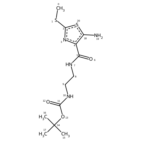 CSc1nc(C(=O)NCCNC(=O)OC(C)(C)C)c(N)s1